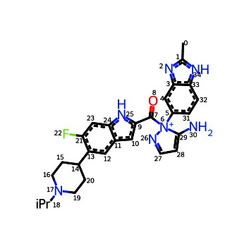 Cc1nc2cc([N+]3(C(=O)c4cc5cc(C6CCN(C(C)C)CC6)c(F)cc5[nH]4)N=CC=C3N)ccc2[nH]1